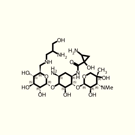 CN[C@@H]1[C@@H](O)[C@@H](O[C@H]2[C@H](NC(=O)C3(O)CC3N)C[C@H](N)C(O[C@H]3O[C@H](CNCC(N)CO)[C@@H](O)[C@H](O)[C@H]3O)[C@@H]2O)OC[C@]1(C)O